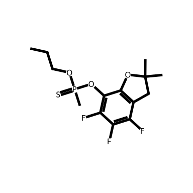 CCCOP(C)(=S)Oc1c(F)c(F)c(F)c2c1OC(C)(C)C2